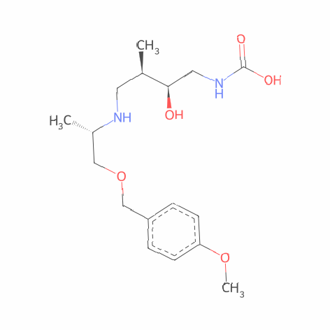 COc1ccc(COC[C@H](C)NC[C@@H](C)[C@H](O)CNC(=O)O)cc1